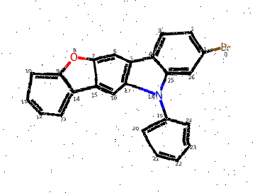 Brc1ccc2c3cc4oc5ccccc5c4cc3n(-c3ccccc3)c2c1